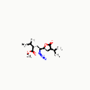 COC(=O)[C@@H](C[C@H](N=[N+]=[N-])[C@@H]1CC(C(C)C)C(=O)O1)C(C)C